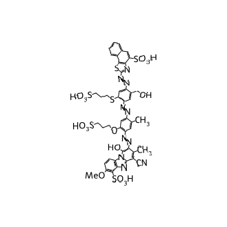 COc1ccc2c(nc3c(C#N)c(C)c(N=Nc4cc(C)c(N=Nc5cc(CO)c(N=Nc6nc7c(S(=O)(=O)O)cc8ccccc8c7s6)cc5SCCCS(=O)(=O)O)cc4OCCCS(=O)(=O)O)c(O)n32)c1S(=O)(=O)O